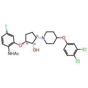 CC(=O)Nc1ccc(F)cc1O[C@H]1CC[C@H](N2CCC(Oc3ccc(Cl)c(Cl)c3)CC2)[C@@H]1O